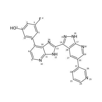 Oc1cc(F)cc(-c2ccnc3[nH]c(-c4n[nH]c5ncc(-c6cccnc6)cc45)nc23)c1